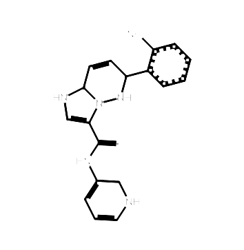 N#Cc1ccccc1C1C=CC2NC=C(C(=O)NC3=CC=CNC3)N2N1